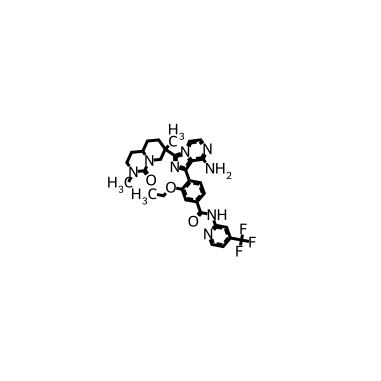 CCOc1cc(C(=O)Nc2cc(C(F)(F)F)ccn2)ccc1-c1nc(C2(C)CCC3CCN(C)C(=O)N3C2)n2ccnc(N)c12